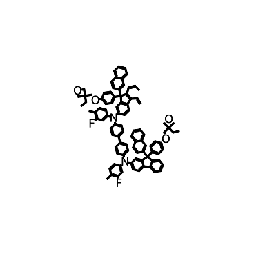 C=CC1=C(/C=C\C)C(c2ccc(OCC3(CC)COC3)cc2)(c2ccc3ccccc3c2)c2cc(N(c3ccc(-c4ccc(N(c5ccc(C)c(F)c5)c5ccc6c(c5)C(c5ccc(OCC7(CC)COC7)cc5)(c5ccc7ccccc7c5)c5ccccc5-6)cc4)cc3)c3ccc(C)c(F)c3)ccc21